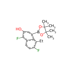 CCc1c(F)ccc2c(F)c(O)cc(B3OC(C)(C)C(C)(C)O3)c12